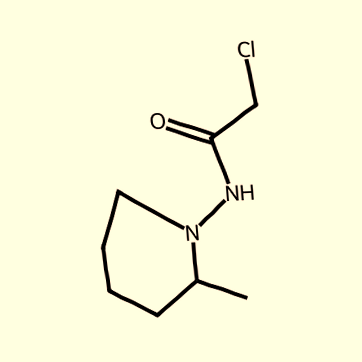 CC1CCCCN1NC(=O)CCl